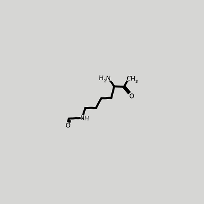 CC(=O)C(N)CCCCNC=O